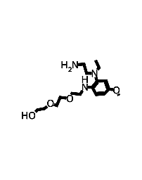 CCN(CCN)c1cc(OC)ccc1NCCOCCOCCO